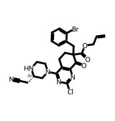 C=CCOC(=O)C1(Cc2ccccc2Br)CCc2c(nc(Cl)nc2N2CCN[C@@H](CC#N)C2)C1=O